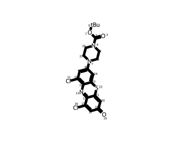 CC(C)(C)OC(=O)N1CCN(c2cc(Cl)c3nc4c(Cl)cc(=O)cc-4sc3c2)CC1